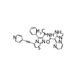 C[C@@H](NC(=O)c1c(N)nn2cccnc12)c1nc2scc(C#Cc3ccncc3)n2c1-c1ccccc1